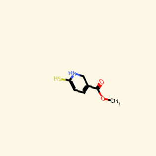 COC(=O)C1=CC=C(S)NC1